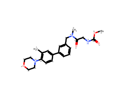 Cc1cc(-c2cccc(CN(C)C(=O)CNC(=O)OC(C)(C)C)c2)ccc1N1CCOCC1